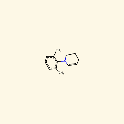 Cc1cccc(C)c1N1C=CCCC1